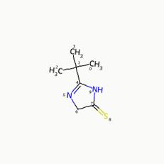 CC(C)(C)C1=NCC(=S)N1